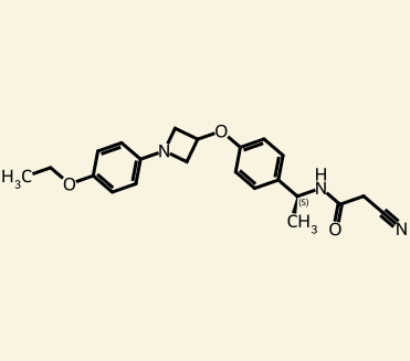 CCOc1ccc(N2CC(Oc3ccc([C@H](C)NC(=O)CC#N)cc3)C2)cc1